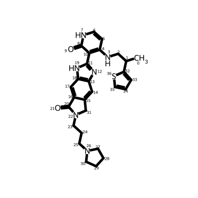 CC(CNc1cc[nH]c(=O)c1-c1nc2cc3c(cc2[nH]1)C(=O)N(CCCN1CCCC1)C3)c1cccs1